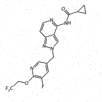 O=C(Nc1nccc2nn(Cc3cnc(OCC(F)(F)F)c(F)c3)cc12)C1CC1